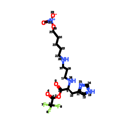 O=C(OC(=O)C(F)(F)F)[C@H](Cc1c[nH]cn1)NCCCNCCCCCO[N+](=O)[O-]